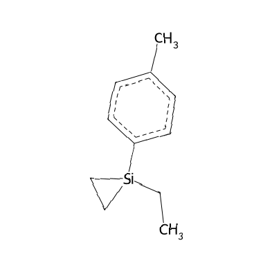 CC[Si]1(c2ccc(C)cc2)CC1